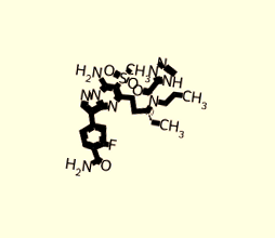 CCCN(C(=O)c1nnc[nH]1)[C@H](CC)CCc1nc2c(-c3ccc(C(N)=O)c(F)c3)cnn2c(N)c1S(C)(=O)=O